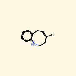 CC/C1=C/Cc2ccccc2NCC1